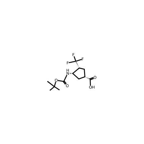 CC(C)(C)OC(=O)N[C@H]1C[C@@H](C(=O)O)C[C@H]1C(F)(F)F